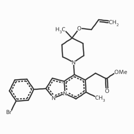 C=CCOC1(C)CCN(c2c(CC(=O)OC)c(C)cn3nc(-c4cccc(Br)c4)cc23)CC1